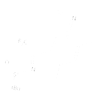 Cc1cc(C)c2c(ccn2C)c1/C(=N/[S+]([O-])C(C)(C)C)C(F)(F)F